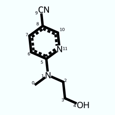 CN(CCO)c1ccc(C#N)cn1